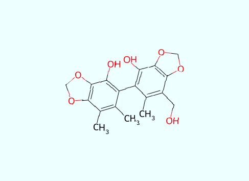 Cc1c(C)c(-c2c(C)c(CO)c3c(c2O)OCO3)c(O)c2c1OCO2